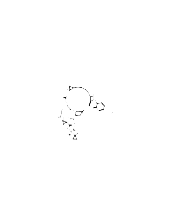 COc1ccc2nc3c(nc2c1)O[C@H]1C[N@](C(O)[C@H](C(C)(C)C)NC(=O)O[C@@H]2C[C@H]2CCCCC3F)[C@H](C(=O)N[C@]2(C(=O)NS(=O)(=O)C3(C)CC3)C[C@H]2C(F)F)[C@@H]1C